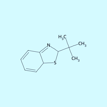 CC(C)(C)C1N=C2C=CC=CC2S1